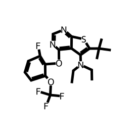 CCN(CC)c1c(C(C)(C)C)sc2ncnc(Oc3c(F)cccc3OC(F)(F)F)c12